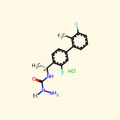 CCN(N)C(=O)N[C@H](C)c1ccc(-c2cccc(F)c2C(F)(F)F)cc1F.Cl